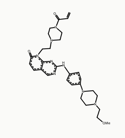 C=CC(=O)N1CCN(CCn2c(=O)ccc3cnc(Nc4ccc(N5CCN(CCOC)CC5)cc4)nc32)CC1